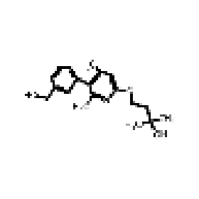 Cc1cc(OCCC(C)(C)O)nc(C)c1-c1cccc(CO)c1